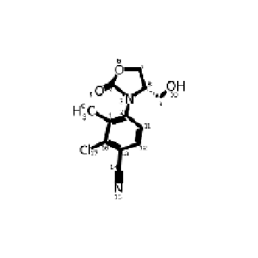 Cc1c(N2C(=O)OC[C@@H]2CO)ccc(C#N)c1Cl